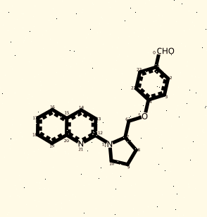 O=Cc1ccc(OCC2CCCN2c2ccc3ccccc3n2)cc1